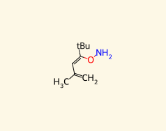 C=C(C)/C=C(\ON)C(C)(C)C